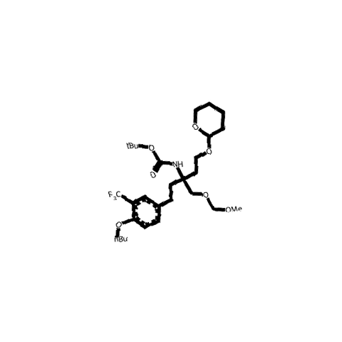 CCCCOc1ccc(CCC(CCOC2CCCCO2)(COCOC)NC(=O)OC(C)(C)C)cc1C(F)(F)F